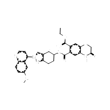 CCOC(=O)c1cc2c(cc1C(=O)NC1CCc3nn(-c4ccnc5ccc(OC)cc45)cc3C1)NC(=O)CS2